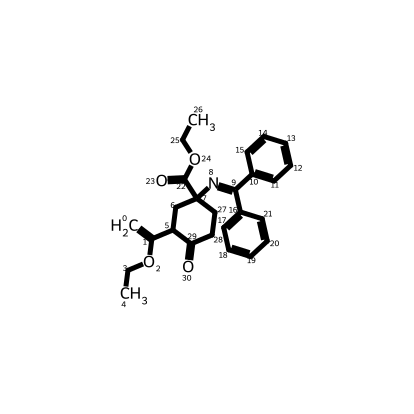 C=C(OCC)C1CC(N=C(c2ccccc2)c2ccccc2)(C(=O)OCC)CCC1=O